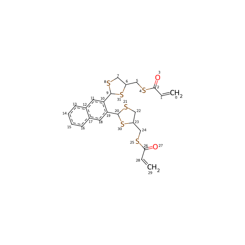 C=CC(=O)SCC1CSC(c2cc3ccccc3cc2C2SCC(CSC(=O)C=C)S2)S1